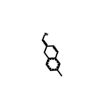 Cc1ccc2c(c1)C=CC(=CC(C)C)C2